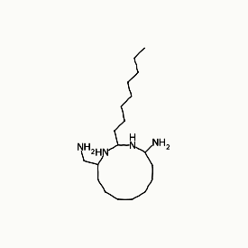 CCCCCCCCC1NC(N)CCCCCCCC(CN)N1